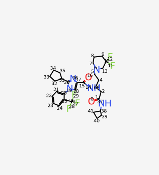 O=C(C[C@H](CCN1CCCC(F)(F)C1)NC(=O)c1cn(-c2ccccc2C(F)(F)F)c(C2CCCC2)n1)NC1CCC1